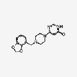 O=c1cc(N2CCN(Cc3cccc4c3OCO4)CC2)nc[nH]1